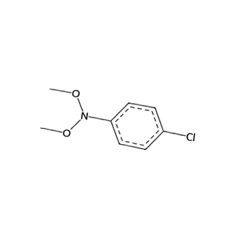 CON(OC)c1ccc(Cl)cc1